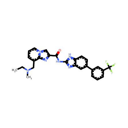 CCN(C)Cc1cccn2cc(C(=O)Nc3nc4cc(-c5cccc(C(F)(F)F)c5)ccc4[nH]3)nc12